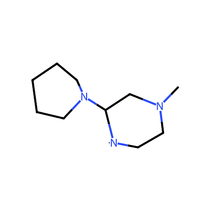 CN1CC[N]C(N2CCCCC2)C1